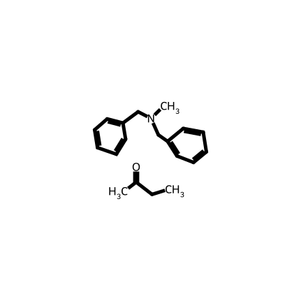 CCC(C)=O.CN(Cc1ccccc1)Cc1ccccc1